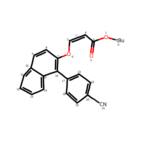 CC(C)(C)OC(=O)/C=C\Oc1ccc2ccccc2c1-c1ccc(C#N)cc1